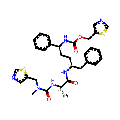 CC(C)[C@H](NC(=O)N(C)Cc1cncs1)C(=O)N[C@@H](CC[C@H](NC(=O)OCc1cncs1)c1ccccc1)Cc1ccccc1